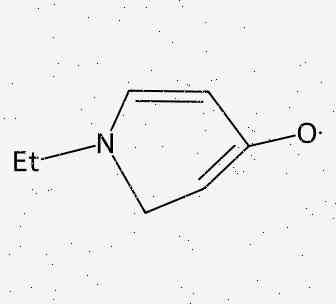 CCN1C=CC([O])=CC1